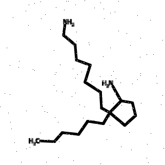 CCCCCCC1(CCCCCCCN)CCCC1N